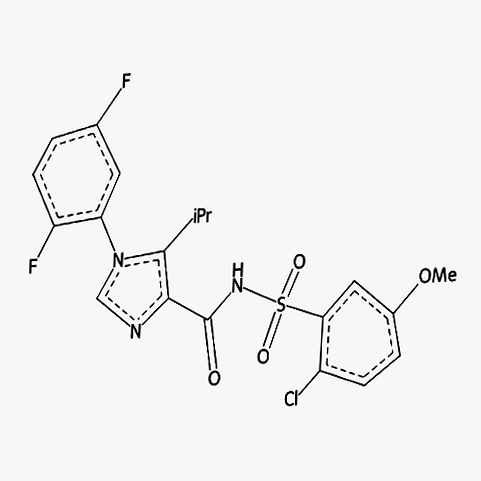 COc1ccc(Cl)c(S(=O)(=O)NC(=O)c2ncn(-c3cc(F)ccc3F)c2C(C)C)c1